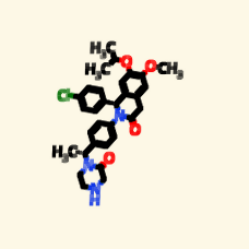 COc1cc2c(cc1OC(C)C)[C@H](c1ccc(Cl)cc1)N(c1ccc([C@@H](C)N3CCNCC3=O)cc1)C(=O)C2